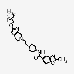 Cc1nc2cc(C(=O)N[C@H]3CC[C@H](CCN4CCc5sc(OCC(C)(F)F)nc5C4)CC3)ccc2o1